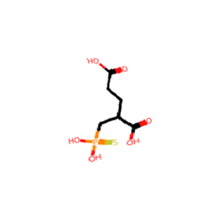 O=C(O)CCC(CP(O)(O)=S)C(=O)O